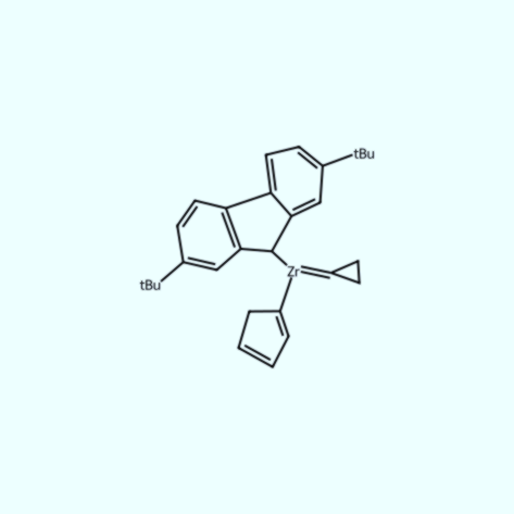 CC(C)(C)c1ccc2c(c1)[CH]([Zr]([C]1=CC=CC1)=[C]1CC1)c1cc(C(C)(C)C)ccc1-2